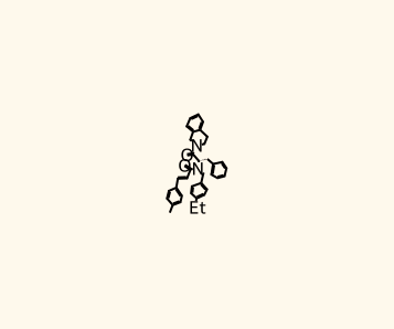 CCc1ccc(CN(C(=O)C=Cc2ccc(C)cc2)[C@@H](Cc2ccccc2)C(=O)N2CCc3ccccc3C2)cc1